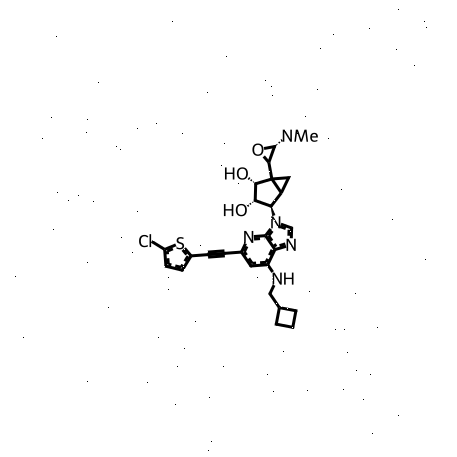 CN[C@H]1OC1C12CC1[C@@H](n1cnc3c(NCC4CCC4)cc(C#Cc4ccc(Cl)s4)nc31)[C@H](O)[C@@H]2O